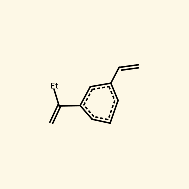 C=Cc1cccc(C(=C)CC)c1